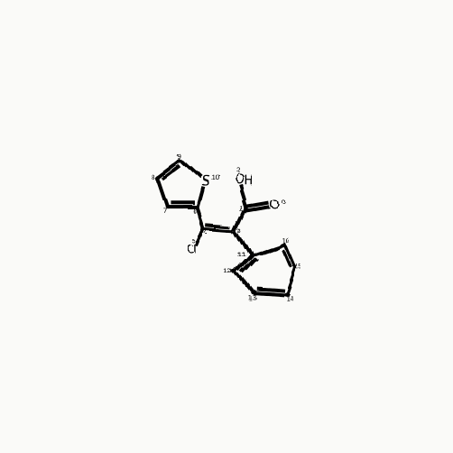 O=C(O)C(=C(Cl)c1cccs1)c1ccccc1